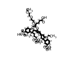 CCN1/C(=C/C=C/C=C/C2=[N+](CCCCCC(=O)O)c3ccc(S(=O)(=O)O)cc3C2(C)CCCS(=O)(=O)O)C(C)(CCOCCOCCOCCOCCOC)c2cc(S(=O)(=O)O)ccc21